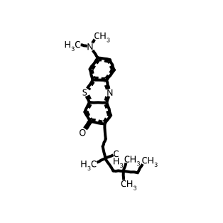 CCC(C)(C)CC(C)(C)CCc1cc2nc3ccc(N(C)C)cc3sc-2cc1=O